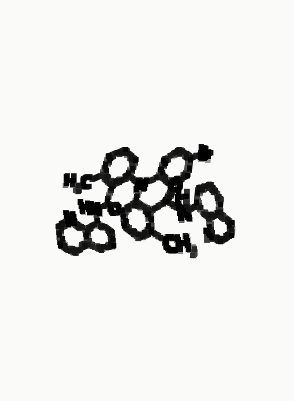 Cc1cccc(N(c2ccc(Br)cc2)c2cccc(C)c2C(=O)Nc2cccc3cccnc23)c1C(=O)Nc1cccc2cccnc12